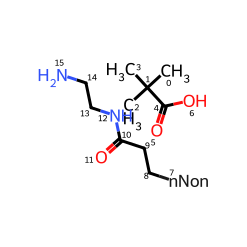 CC(C)(C)C(=O)O.CCCCCCCCCCCC(=O)NCCN